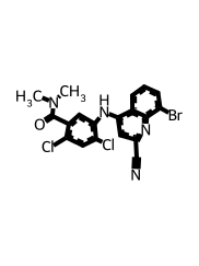 CN(C)C(=O)c1cc(Nc2cc(C#N)nc3c(Br)cccc23)c(Cl)cc1Cl